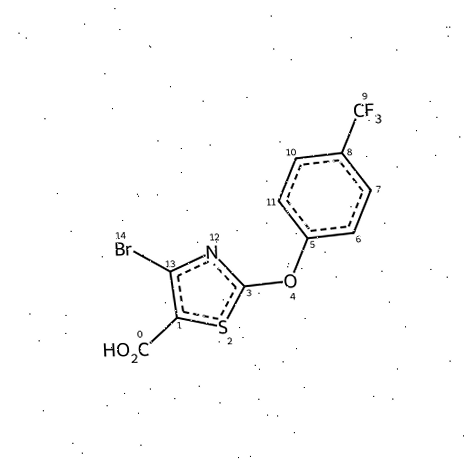 O=C(O)c1sc(Oc2ccc(C(F)(F)F)cc2)nc1Br